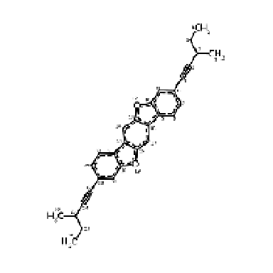 CCC(C)C#Cc1ccc2c(c1)oc1cc3c(cc12)oc1cc(C#CC(C)CC)ccc13